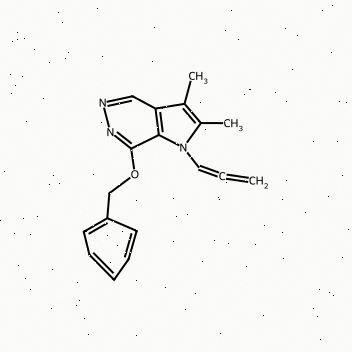 C=C=Cn1c(C)c(C)c2cnnc(OCc3ccccc3)c21